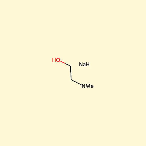 CNCCO.[NaH]